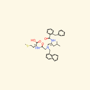 CSCC[C@H](NC(=O)CN(Cc1cccc2ccccc12)C[C@H](CC(C)C)NC(=O)c1ccccc1Cc1ccccc1)C(=O)O